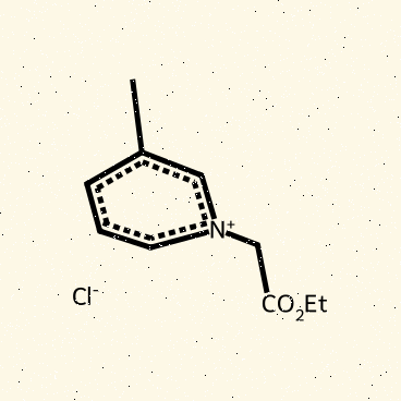 CCOC(=O)C[n+]1cccc(C)c1.[Cl-]